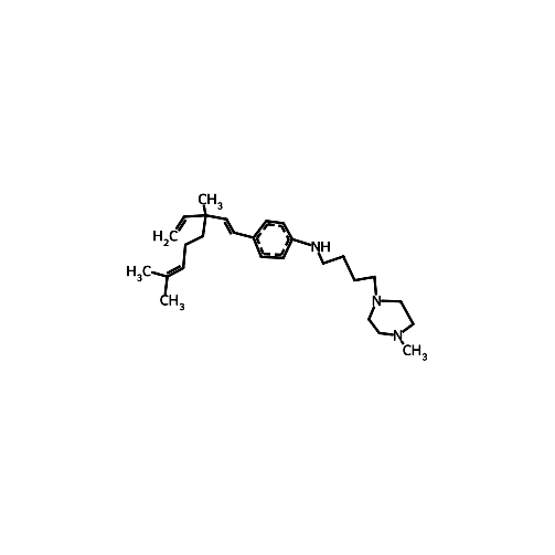 C=CC(C)(/C=C/c1ccc(NCCCCN2CCN(C)CC2)cc1)CCC=C(C)C